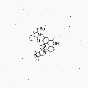 CCCCC1=NC2(CCCC2)C(=O)N1Cc1ccc(-c2ccccc2S(=O)(=O)Nc2noc(C)c2C)c(C(C)O)c1